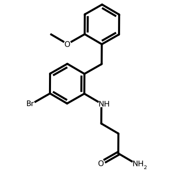 COc1ccccc1Cc1ccc(Br)cc1NCCC(N)=O